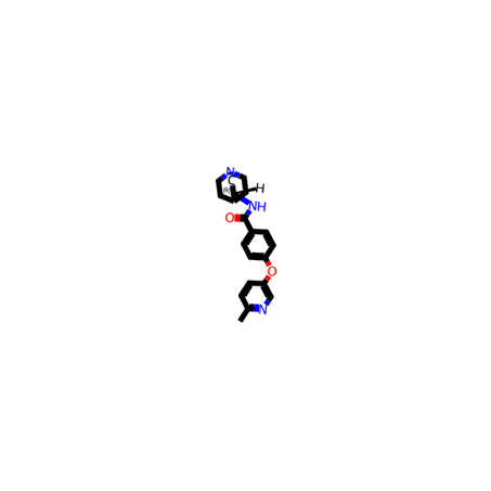 Cc1ccc(Oc2ccc(C(=O)N[C@H]3CN4CCC3CC4)cc2)cn1